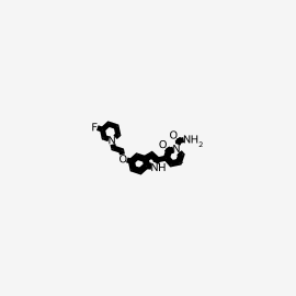 NC(=O)n1c[c]cc(-c2cc3cc(OCCN4CCCC(F)C4)ccc3[nH]2)c1=O